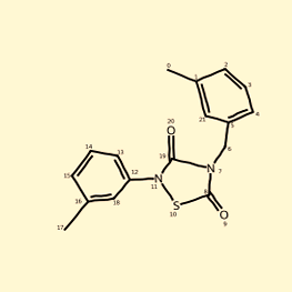 Cc1cccc(Cn2c(=O)sn(-c3cccc(C)c3)c2=O)c1